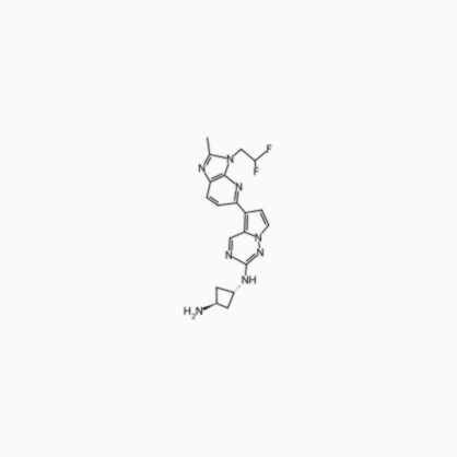 Cc1nc2ccc(-c3ccn4nc(N[C@H]5C[C@H](N)C5)ncc34)nc2n1CC(F)F